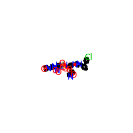 CC1(C)CCC(CN2CCN(c3ccc(C(=O)NS(=O)(=O)c4ccc(N5CCC(N6CCOCC6)CC5)c([N+](=O)[O-])c4)c(Oc4ccoc5nccc4-5)c3)CC2)=C(c2ccc(Cl)cc2)C1